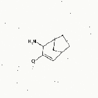 NC1[C]2CCC(C=C1Cl)C2